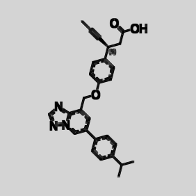 CC#C[C@@H](CC(=O)O)c1ccc(OCc2cc(-c3ccc(C(C)C)cc3)cn3ncnc23)cc1